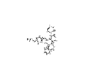 C1=CCOCC1.FC(F)(F)Oc1ccc(CC2CC3=c4ccccc4=CCC3=C3CCCC=C32)cc1